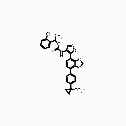 CC(OC(=O)Nc1cnoc1-c1ccc(-c2ccc(C3(C(=O)O)CC3)cc2)c2c1OCO2)c1ccccc1Cl